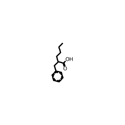 CCCCC(Cc1ccccc1)C(=O)O